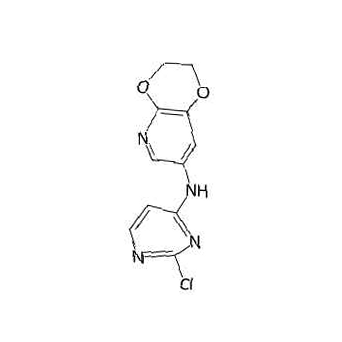 Clc1nccc(Nc2cnc3c(c2)OCCO3)n1